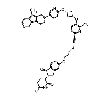 Cn1c2ccncc2c2ccc(-c3ccc(O[C@H]4C[C@H](Oc5ccc(C#CCOCCOc6ccc7c(c6)CN(C6CCC(=O)NC6=O)C7=O)nc5C#N)C4)nc3)cc21